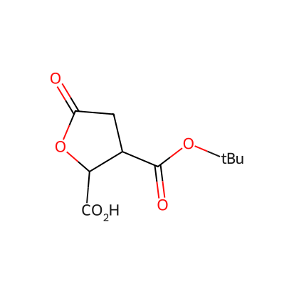 CC(C)(C)OC(=O)C1CC(=O)OC1C(=O)O